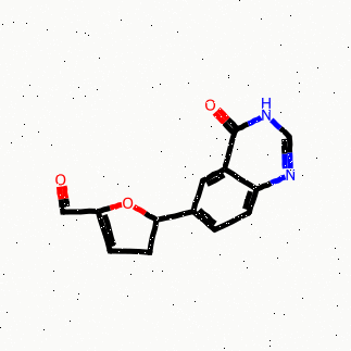 O=CC1=CCC(c2ccc3nc[nH]c(=O)c3c2)O1